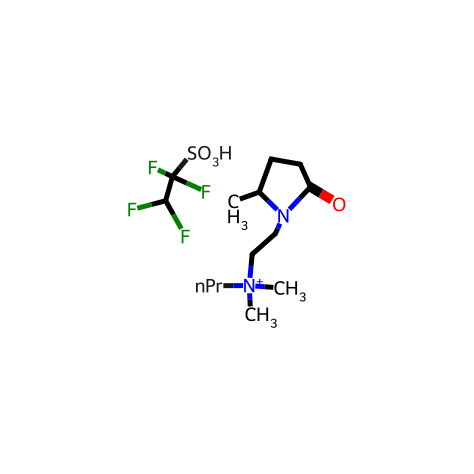 CCC[N+](C)(C)CCN1C(=O)CCC1C.O=S(=O)(O)C(F)(F)C(F)F